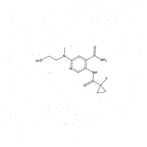 CC(=O)OCCN(C)c1cc(C(N)=O)c(NC(=O)C2(F)CC2)cn1